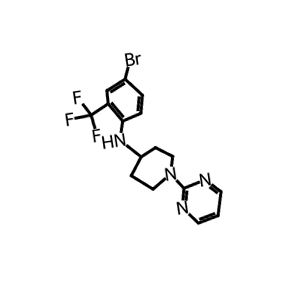 FC(F)(F)c1cc(Br)ccc1NC1CCN(c2ncccn2)CC1